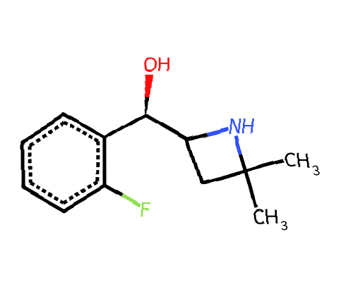 CC1(C)CC([C@H](O)c2ccccc2F)N1